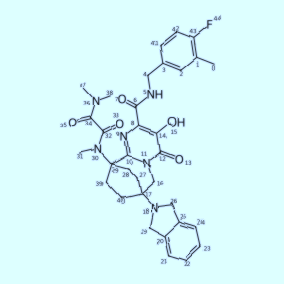 Cc1cc(CNC(=O)c2nc3n(c(=O)c2O)CC2(N4Cc5ccccc5C4)CCC3(N(C)C(=O)C(=O)N(C)C)CC2)ccc1F